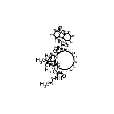 C=CCNC(=O)C(=O)[C@@H]1CCCCCCCC[C@H](NC(=O)NC2([C@@H]3CCCS3(=O)=O)CCCCC2)C(=O)N2C[C@H]3[C@@H]([C@H]2C(=O)N1)C3(C)C